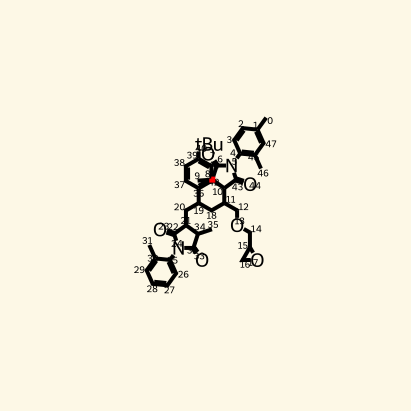 Cc1ccc(N2C(=O)C(C)C(C(COCC3CO3)CC(CC3C(=O)N(c4ccccc4C)C(=O)C3C)c3ccc(C(C)(C)C)cc3)C2=O)c(C)c1